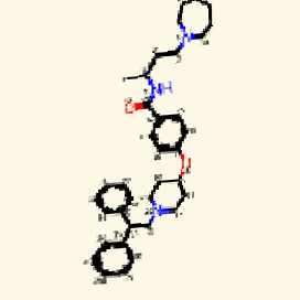 CC(CCN1CCCCCC1)NC(=O)c1ccc(OC2CCN(CC(c3ccccc3)c3ccccc3)CC2)cc1